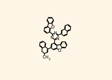 CC1C=C(c2cc(-c3nc(-c4ccc5ccccc5c4)nc(-c4cccc5c4oc4ccccc45)n3)c3c(c2)oc2ccccc23)c2ccccc2C1